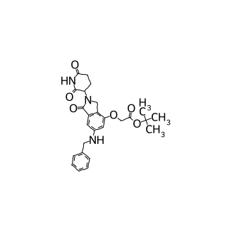 CC(C)(C)OC(=O)COc1cc(NCc2ccccc2)cc2c1CN(C1CCC(=O)NC1=O)C2=O